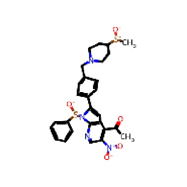 CC(=O)c1c([N+](=O)[O-])cnc2c1cc(-c1ccc(CN3CCC([S+](C)[O-])CC3)cc1)n2[S+]([O-])c1ccccc1